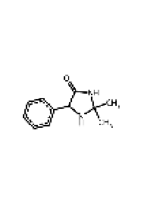 CC1(C)NC(=O)C(c2ccccc2)N1